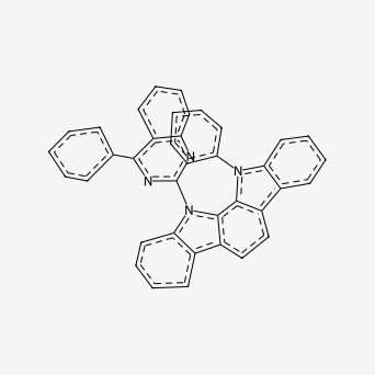 c1ccc(-c2nc(-n3c4ccccc4c4ccc5c6ccccc6n(-c6ccccc6)c5c43)nc3ccccc23)cc1